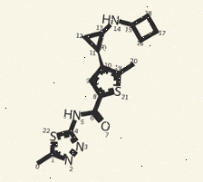 Cc1nnc(NC(=O)c2cc([C@H]3CC3NC3CCC3)c(C)s2)s1